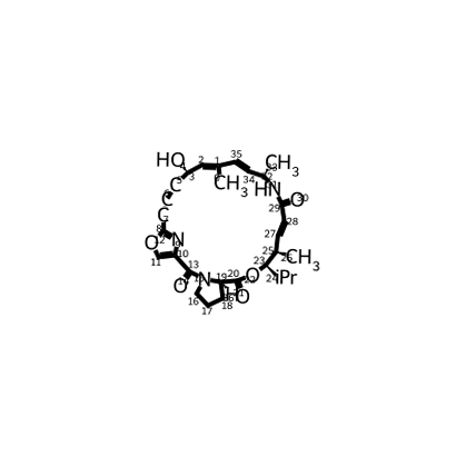 CC1=C\[C@@H](O)CCCc2nc(co2)C(=O)N2CCC[C@@H]2C(=O)O[C@H](C(C)C)[C@H](C)/C=C/C(=O)N[C@@H](C)\C=C\1